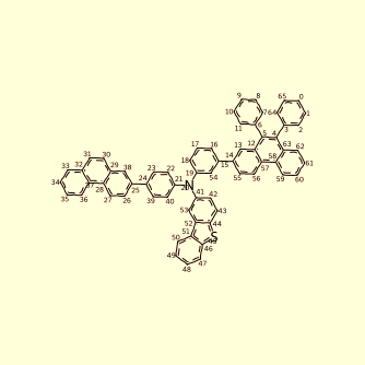 c1ccc(-c2c(-c3ccccc3)c3cc(-c4cccc(N(c5ccc(-c6ccc7c(ccc8ccccc87)c6)cc5)c5ccc6sc7ccccc7c6c5)c4)ccc3c3ccccc23)cc1